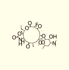 CC[C@H]1OC(=O)[C@@](C)(F)C(=O)[C@H](C)[C@@H](O[C@@H]2OC(C)CC(N(C)C)C2O)[C@](C)(OC)C[C@@H](C)C(=O)[C@H](C)[C@H]2NC(=O)O[C@@]21C